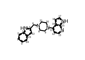 c1ccc2[nH]c(CN3CCN(c4ccnc5[nH]ccc45)CC3)cc2c1